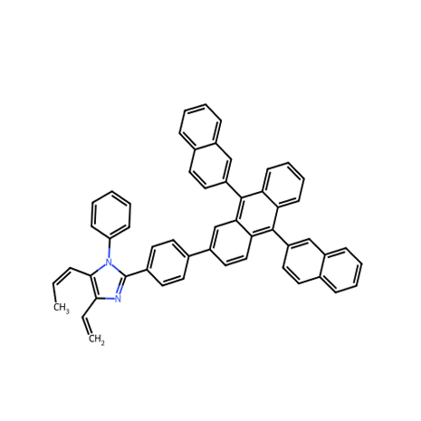 C=Cc1nc(-c2ccc(-c3ccc4c(-c5ccc6ccccc6c5)c5ccccc5c(-c5ccc6ccccc6c5)c4c3)cc2)n(-c2ccccc2)c1/C=C\C